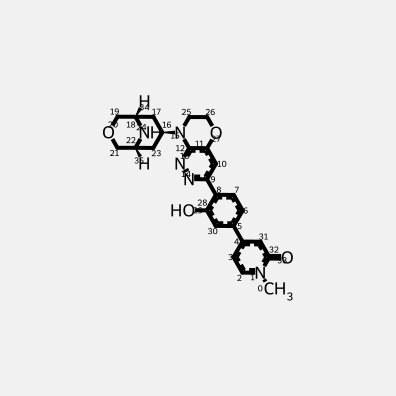 Cn1ccc(-c2ccc(-c3cc4c(nn3)N([C@@H]3C[C@H]5COC[C@@H](C3)N5)CCO4)c(O)c2)cc1=O